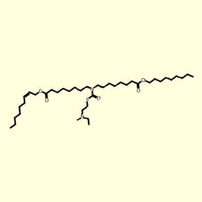 CCCCCC/C=C\COC(=O)CCCCCCCN(CCCCCCCC(=O)OCCCCCCCCC)C(=O)SCCN(C)CC